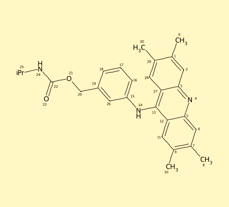 Cc1cc2nc3cc(C)c(C)cc3c(Nc3cccc(COC(=O)NC(C)C)c3)c2cc1C